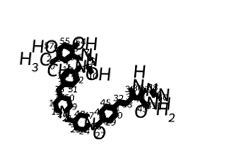 CC(C)c1cc(-c2nnc(O)n2-c2ccc(CC3CCN(CC4CCN(C(=O)c5ccc(C=Cc6c[nH]c7nc(N)[nH]c(=O)c67)cc5)CC4)CC3)cc2)c(O)cc1O